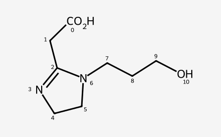 O=C(O)CC1=NCCN1CCCO